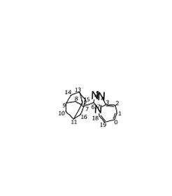 C1=CC=C2N=NC(C34CC5CC(CC(C5)C3)C4)N2C=C1